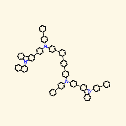 c1ccc(-c2ccc(N(c3ccc(-c4ccc(-c5cccc(-c6ccc(N(c7ccc(-c8ccccc8)cc7)c7ccc(-c8ccc9c(c8)c8ccccc8n9-c8cccc9ccccc89)cc7)cc6)c5)cc4)cc3)c3ccc(-c4ccc5c(c4)c4ccccc4n5-c4ccc(-c5ccccc5)cc4)cc3)cc2)cc1